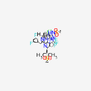 C=C/C(c1c([C@@H](N)Cc2cc(F)cc(F)c2)nc(C#CC(C)(C)S(=O)(=O)C2CC2)c2c1CCC2)=c1\c(=C(/C)Cl)c(NS(=O)(=O)C2CC2)nn1CC(F)(F)F